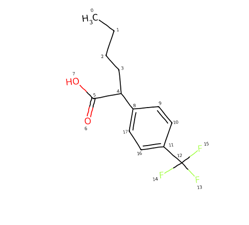 CCCCC(C(=O)O)c1ccc(C(F)(F)F)cc1